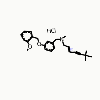 COc1ccccc1COc1cccc(CN(C)C/C=C/C#CC(C)(C)C)c1.Cl